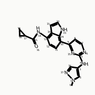 Cn1cc(Nc2nccc(-c3ccc(NC(=O)C4CC4)c4cc[nH]c34)n2)cn1